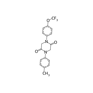 Cc1ccc(N2CC(=O)N(c3ccc(OC(F)(F)F)cc3)CC2=O)cc1